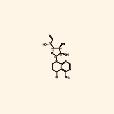 C=C[C@@H](O)[C@H]1O[C@H](n2ccc(=O)c3c(N)ncnc32)[C@H](O)[C@@H]1O